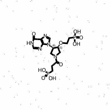 O=C(CCP(=O)(O)O)N1C[C@H](OCCP(=O)(O)O)[C@H](n2cnc3c(=O)[nH]cnc32)C1